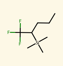 CCCC(C(F)(F)F)[Si](C)(C)C